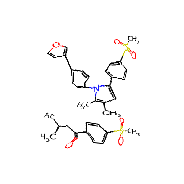 CC(=O)C(C)CC(=O)c1ccc(S(C)(=O)=O)cc1.Cc1cc(-c2ccc(S(C)(=O)=O)cc2)n(-c2ccc(-c3ccoc3)cc2)c1C